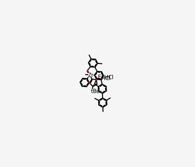 Cl.Cl.[CH2]=[Zr]([CH3])([C]1=CC(C(C)(C)C)=CC1CC)([c]1ccccc1)[c]1c(-c2c(C)cc(C)cc2C)ccc2c1Cc1cc(-c3c(C)cc(C)cc3C)ccc1-2